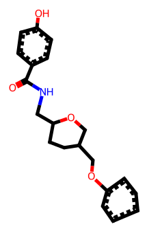 O=C(NCC1CCC(COc2ccccc2)CO1)c1ccc(O)cc1